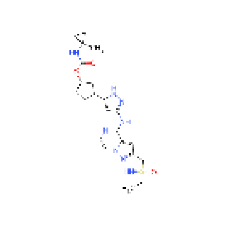 CCS(=N)(=O)Cc1cc2c(Nc3cc(C4CCC(OC(=O)NC5(C)CC5)C4)[nH]n3)nccn2n1